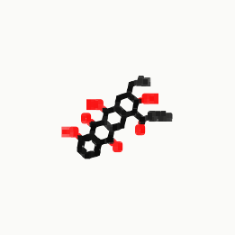 COC(=O)C1C2=C(CC(CC(C)=O)[C@H]1O)C(O)C1C(=O)c3c(O)cccc3C(=O)C1=C2